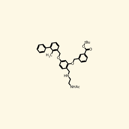 CC(=O)NCCNCc1ccc(OCc2cccc(-c3ccccc3)c2C)cc1OCc1cccc(C(=O)OC(C)(C)C)c1